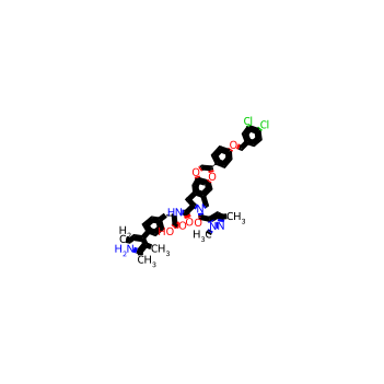 C=C/C=C(\C(C)=C(\C)N)c1ccc(C[C@H](NC(=O)C2Cc3cc4c(cc3CN2C(=O)c2cc(C)nn2C)O[C@@H](c2ccc(OCc3ccc(Cl)c(Cl)c3)cc2)CO4)C(=O)O)cc1